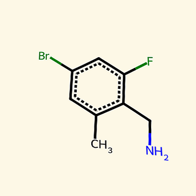 Cc1cc(Br)cc(F)c1CN